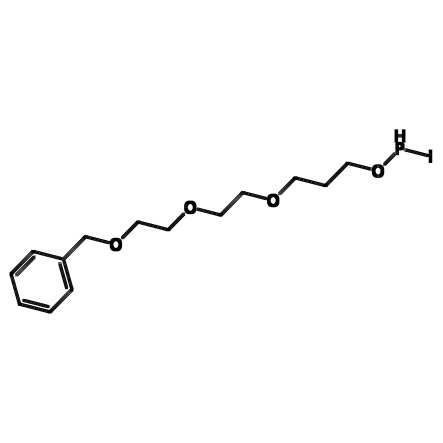 IPOCCCOCCOCCOCc1ccccc1